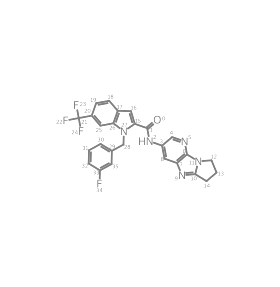 O=C(Nc1cnc2c(c1)nc1n2CCC1)c1cc2ccc(C(F)(F)F)cc2n1Cc1cccc(F)c1